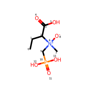 CCC(C(=O)O)[N+](C)([O-])CP(=O)(O)O